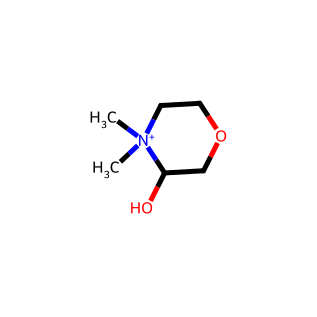 C[N+]1(C)CCOCC1O